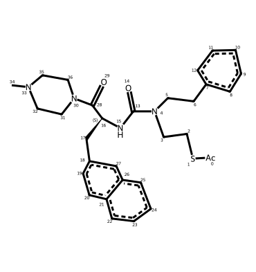 CC(=O)SCCN(CCc1ccccc1)C(=O)N[C@@H](Cc1ccc2ccccc2c1)C(=O)N1CCN(C)CC1